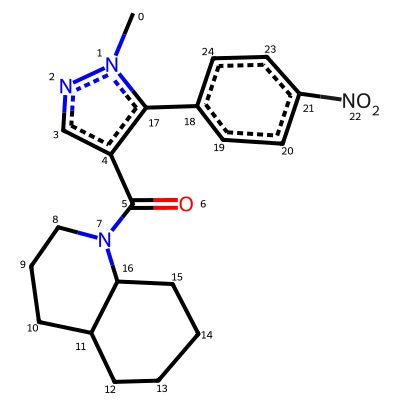 Cn1ncc(C(=O)N2CCCC3CCCCC32)c1-c1ccc([N+](=O)[O-])cc1